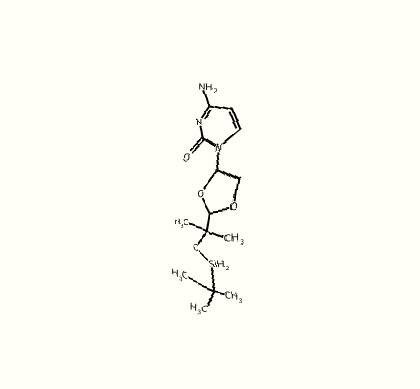 CC(C)(C)[SiH2]OC(C)(C)C1OCC(n2ccc(N)nc2=O)O1